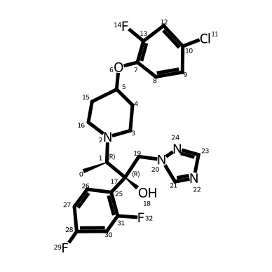 C[C@@H](N1CCC(Oc2ccc(Cl)cc2F)CC1)[C@](O)(Cn1cncn1)c1ccc(F)cc1F